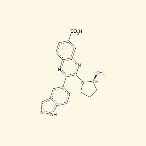 C[C@H]1CCCN1c1nc2cc(C(=O)O)ccc2nc1-c1ccc2[nH]ncc2c1